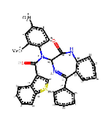 COc1cc([N+](=O)[O-])ccc1N(C(=O)c1csc2ccccc12)C1N=C(c2ccccc2)c2ccccc2NC1=O